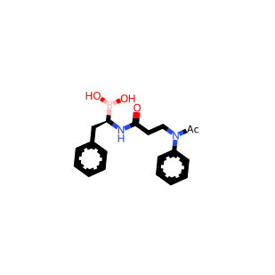 CC(=O)N(CCC(=O)N[C@@H](Cc1ccccc1)B(O)O)c1ccccc1